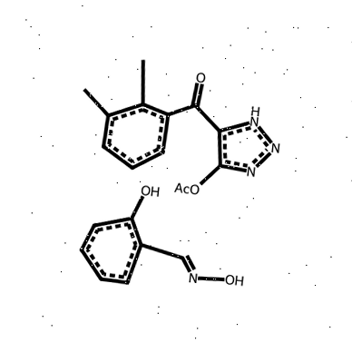 CC(=O)Oc1nn[nH]c1C(=O)c1cccc(C)c1C.ON=Cc1ccccc1O